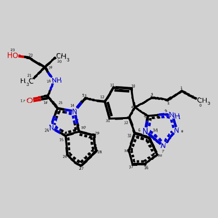 CCCCC1(c2nnn[nH]2)C=CC(Cn2c(C(=O)NC(C)(C)CO)nc3ccccc32)=CC1c1ccccc1